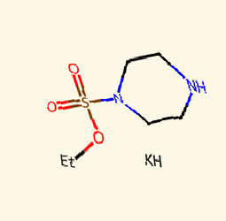 CCOS(=O)(=O)N1CCNCC1.[KH]